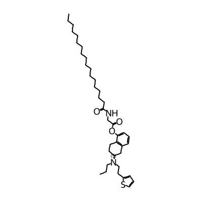 CCCCCCCCCCCCCCCCCC(=O)NCC(=O)Oc1cccc2c1CC[C@H](N(CCC)CCc1cccs1)C2